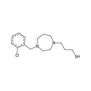 SCCCN1CCCN(Cc2ccccc2Cl)CC1